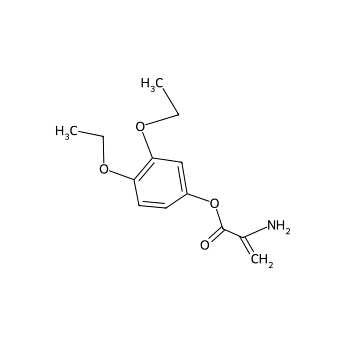 C=C(N)C(=O)Oc1ccc(OCC)c(OCC)c1